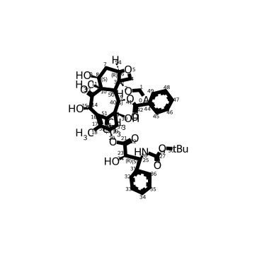 CC(=O)CO[C@@]12CO[C@@H]1C[C@H](O)[C@@]1(C)C(=O)[C@H](O)C3=C(C)[C@@H](OC(=O)[C@H](O)[C@@H](NC(=O)OC(C)(C)C)c4ccccc4)C[C@@](O)([C@@H](OC(=O)c4ccccc4)[C@H]21)C3(C)C